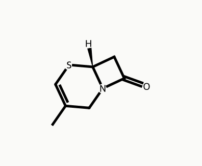 CC1=CS[C@@H]2CC(=O)N2C1